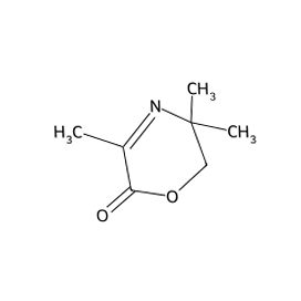 CC1=NC(C)(C)COC1=O